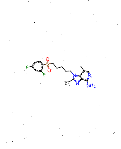 CCc1nc2c(N)ncc(C)c2n1CCCCCS(=O)(=O)c1ccc(F)cc1F